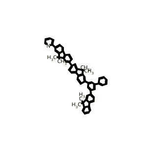 CC1(C)c2ccccc2-c2ccc(-c3cc(-c4ccccc4)cc(-c4ccc5c(c4)C(C)(C)c4cc(-c6ccc7c(c6)C(C)(C)c6cc(-c8ccccn8)ccc6-7)ccc4-5)c3)cc21